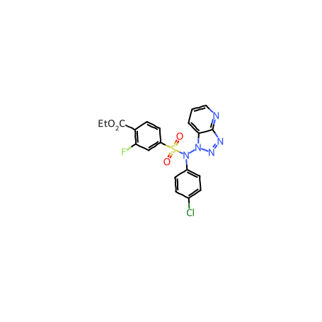 CCOC(=O)c1ccc(S(=O)(=O)N(c2ccc(Cl)cc2)n2nnc3ncccc32)cc1F